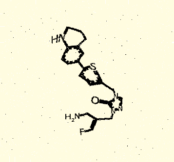 NC/C(=C\F)Cn1ncn(Cc2ccc(-c3ccc4c(c3)CCCN4)s2)c1=O